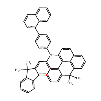 CC1(C)c2ccccc2-c2ccc(N(c3ccc(-c4cccc5ccccc45)cc3)c3ccc4cccc5c4c3-c3ccccc3C5(C)C)cc21